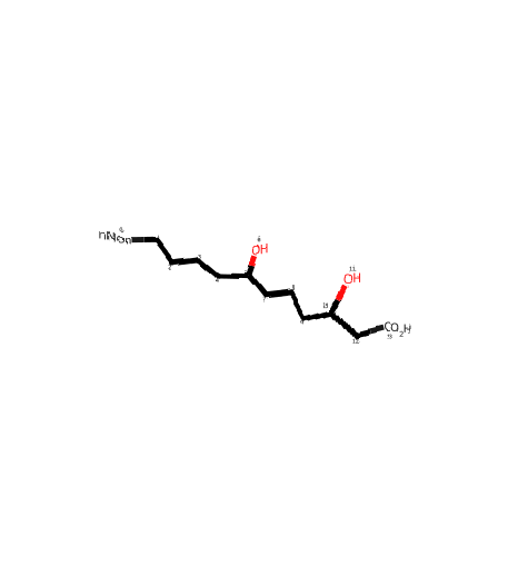 CCCCCCCCCCCCCC(O)CCCC(O)CC(=O)O